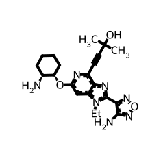 CCn1c(-c2nonc2N)nc2c(C#CC(C)(C)O)nc(O[C@@H]3CCCC[C@@H]3N)cc21